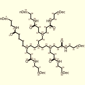 CCCCCCCCCCCCNC(=O)CCCCN(CCC(=O)NCCCCCCCCCCCC)CCN(CCN(CCC(=O)NCCCCCCCCCCCC)CCC(=O)NCCCCCCCCCCCC)CCN(CCC(=O)NCCCCCCCCCCCC)CCC(=O)NCCCCCCCCCCCC